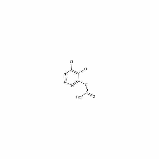 O=[PH](O)Oc1nnnc(Cl)c1Cl